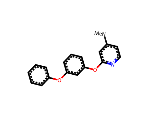 CNc1ccnc(Oc2cccc(Oc3ccccc3)c2)c1